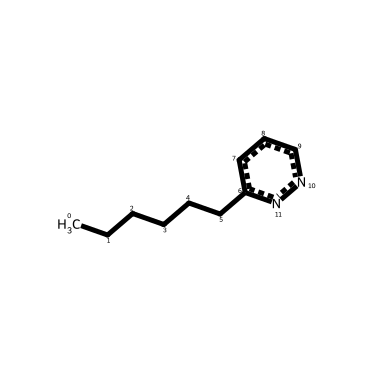 CCCCCCc1cccnn1